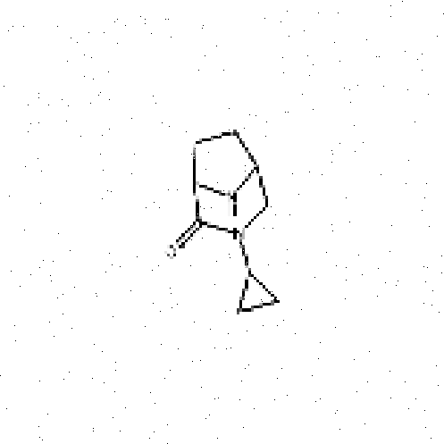 O=C1C2CCC(CN1C1CC1)N2